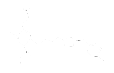 CNC(=O)c1cc(Cl)c(OCC(=O)O)cc1OC[C@@H](O)CN1C[C@@H](Oc2ccc(Cl)cc2)CO1